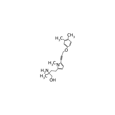 Cc1ccc(OCC#Cc2ccc(CC[C@@](C)(N)CO)n2C)cc1C